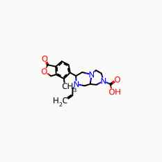 C=CCN1CC2CN(C(=O)O)CCN2CC1c1ccc2c(c1C)COC2=O